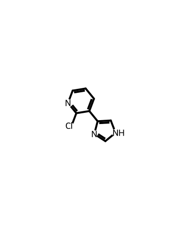 Clc1ncccc1-c1c[nH]cn1